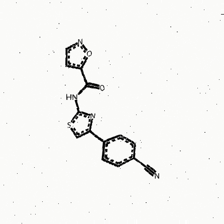 N#Cc1ccc(-c2csc(NC(=O)c3ccno3)n2)cc1